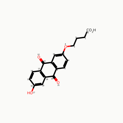 O=C(O)CCCOc1ccc2c(c1)C(=O)c1ccc(O)cc1C2=O